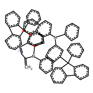 C=C(/C=C\C1C=Cc2c(N(c3ccccc3)c3cccc(C4(c5ccccc5)c5ccccc5-c5ccccc54)c3)ccc3cccc1c23)N(c1ccccc1)c1cccc(C2(c3ccccc3)c3ccccc3-c3ccccc32)c1